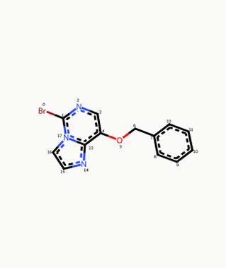 Brc1ncc(OCc2ccccc2)c2nccn12